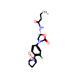 CCCC(=O)NC[C@H]1CN(c2ccc(N3C4CCC3[S+]([O-])C4)c(F)c2)C(=O)O1